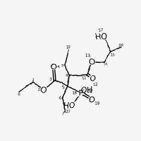 CCOC(=O)C(CC)(C(CC)C(=O)OCC(C)O)P(=O)(O)O